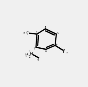 CN.Fc1ccc(F)cc1